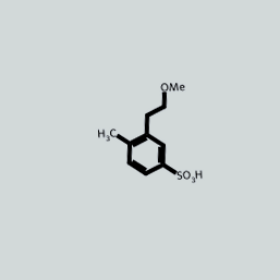 COCCc1cc(S(=O)(=O)O)ccc1C